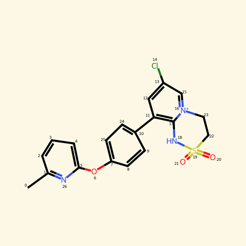 Cc1cccc(Oc2ccc(-c3cc(Cl)c[n+]4c3NS(=O)(=O)CC4)cc2)n1